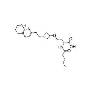 CCCCC(=O)NC(CCOC1CC(CCc2ccc3c(n2)NCCC3)C1)C(=O)O